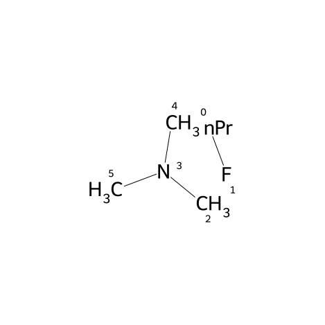 CCCF.CN(C)C